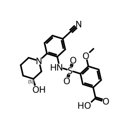 COc1ccc(C(=O)O)cc1S(=O)(=O)Nc1cc(C#N)ccc1N1CCC[C@H](O)C1